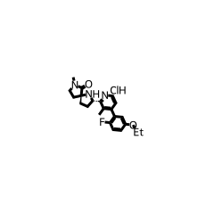 CCOc1ccc(F)c(-c2ccnc([C@@H]3CC[C@]4(CCN(C)C4=O)N3)c2C)c1.Cl